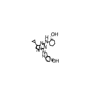 OC[C@@H]1CCCCC1Nc1nc(NCc2ccc[n+](O)c2)n2ncc(C3CC3)c2n1